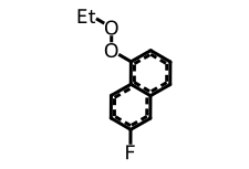 CCOOc1cccc2cc(F)ccc12